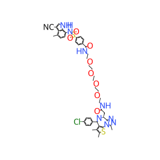 Cc1sc2c(c1C)C(c1ccc(Cl)cc1)=N[C@@H](CC(=O)NCCOCCOCCOCCOCCNC(=O)c1ccc(S(=O)(=O)Nc3ccc(C)c4c(C#N)c[nH]c34)cc1)c1nnc(C)n1-2